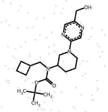 CC(C)(C)OC(=O)N(CC1CCC1)C1CCCN(c2cnc(CO)cn2)C1